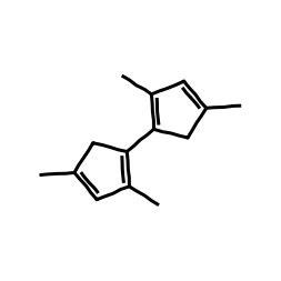 CC1=CC(C)=C(C2=C(C)C=C(C)C2)C1